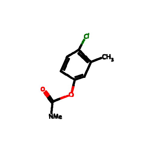 CNC(=O)Oc1ccc(Cl)c(C)c1